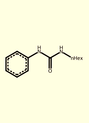 CCCCCCNC(=O)Nc1ccccc1